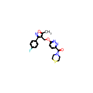 Cc1onc(-c2ccc(F)cc2)c1COc1ccc(C(=O)N2CCSCC2)nn1